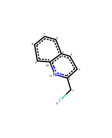 F[CH]c1ccc2ccccc2n1